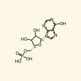 O=P(O)(O)OC[C@H]1O[C@@H](n2cnc3c(O)ncnc32)C(O)C1O